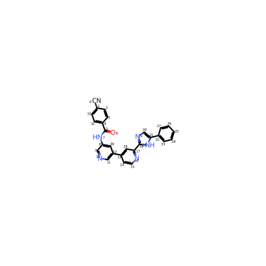 N#Cc1ccc(C(=O)Nc2cncc(-c3ccnc(-c4ncc(-c5ccccc5)[nH]4)c3)c2)cc1